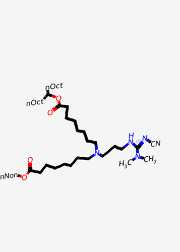 CCCCCCCCCOC(=O)CCCCCCCN(CCCCCCCC(=O)OC(CCCCCCCC)CCCCCCCC)CCCN/C(=N/C#N)N(C)C